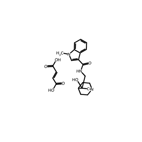 Cn1cc(C(=O)NCC2(O)CN3CCC2CC3)c2ccccc21.O=C(O)/C=C/C(=O)O